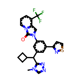 Cn1cnnc1C(c1cc(-c2ccsn2)cc(-n2cc3c(C(F)(F)F)cccn3c2=O)c1)C1CCC1